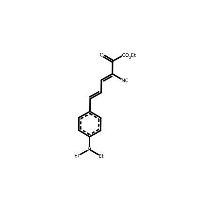 [C-]#[N+]/C(=C\C=C\c1ccc(N(CC)CC)cc1)C(=O)C(=O)OCC